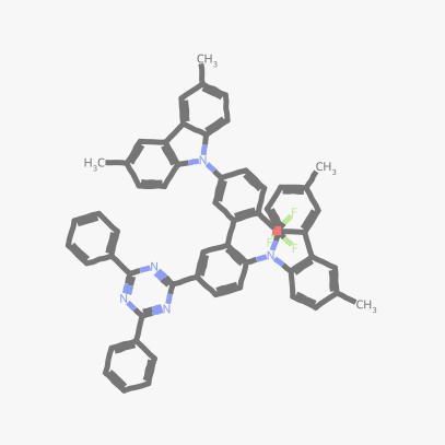 Cc1ccc2c(c1)c1cc(C)ccc1n2-c1ccc(C(F)(F)F)c(-c2cc(-c3nc(-c4ccccc4)nc(-c4ccccc4)n3)ccc2-n2c3ccc(C)cc3c3cc(C)ccc32)c1